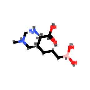 CN(C)C[C@@H](CCCB(O)O)[C@H](N)C(=O)O